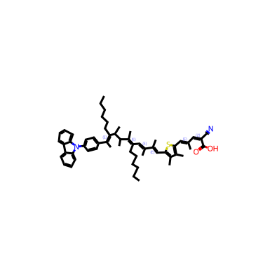 CCCCCCC(/C=C(C)/C(C)=C/c1sc(/C=C(C)/C=C(/C#N)C(=O)O)c(C)c1C)=C(/C)C(C)C(C)/C(CCCCCC)=C(\C)c1ccc(-n2c3ccccc3c3ccccc32)cc1